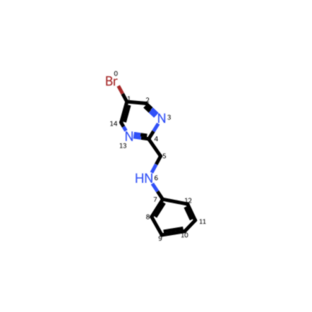 Brc1cnc(CNc2ccccc2)nc1